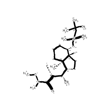 CON(C)C(=O)[C@H](F)[C@@H](C)[C@H]1CC[C@H]2[C@@H](O[Si](C)(C)C(C)(C)C)CCC[C@]12C